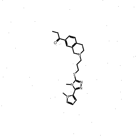 CCC(=O)c1ccc2c(c1)CN(CCCSc1nnc(-c3cccn3C)n1C)CC2